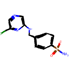 NS(=O)(=O)c1ccc(CNc2cncc(Cl)n2)cc1